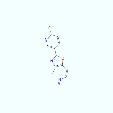 C=N/C=C\c1oc(-c2ccc(Cl)nc2)nc1C